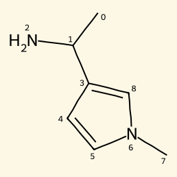 CC(N)c1ccn(C)c1